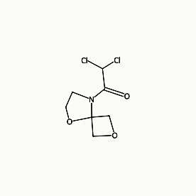 O=C(C(Cl)Cl)N1CCOC12COC2